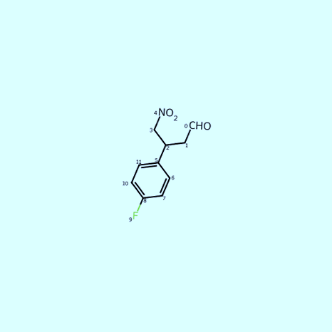 O=CCC(C[N+](=O)[O-])c1ccc(F)cc1